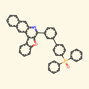 O=P(c1ccccc1)(c1ccccc1)c1ccc(-c2cccc(-c3nc4cc5ccccc5cc4c4c3oc3ccccc34)c2)cc1